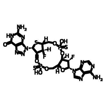 Nc1nc2c(nnn2[C@@H]2S[C@@H]3COP(O)(=S)O[C@H]4[C@H](F)[C@H](n5cnc6c(N)ncnc65)O[C@@H]4COP(O)(=S)O[C@@H]2[C@@H]3F)c(=O)[nH]1